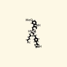 COc1ccc2[nH]c(C)c(CC(=O)N[C@@H](CCCCCC(C)=O)C(=O)NCc3ccc(-c4c[nH]cn4)cc3)c2c1